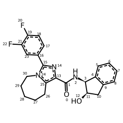 O=C(N[C@H]1c2ccccc2C[C@H]1O)c1nc(-c2ccc(F)c(F)c2)n2c1CCCCC2